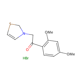 Br.COc1ccc(C(=O)CN2C=CSC2)c(OC)c1